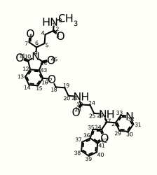 CNC(=O)CCC(C=O)N1C(=O)c2cccc(OCCCNC(=O)CCNC(c3cccnc3)c3cc4ccccc4o3)c2C1=O